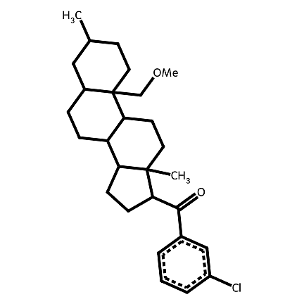 COCC12CCC(C)CC1CCC1C3CCC(C(=O)c4cccc(Cl)c4)C3(C)CCC12